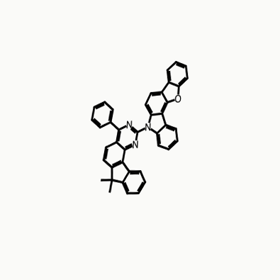 CC1(C)c2ccccc2-c2c1ccc1c(-c3ccccc3)nc(-n3c4ccccc4c4c5oc6ccccc6c5ccc43)nc21